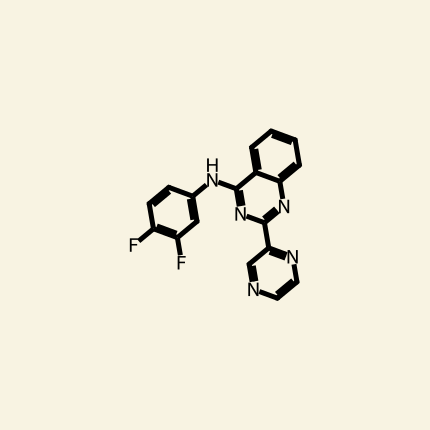 Fc1ccc(Nc2nc(-c3cnccn3)nc3ccccc23)cc1F